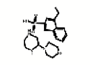 C1CN(C2CNCCN2)CCN1.CCc1cc(S(=O)(=O)O)cc2ccccc12